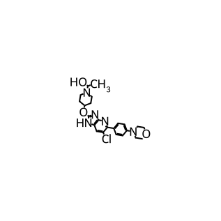 CC(O)N1CCC(Oc2nc3nc(-c4ccc(N5CCOCC5)cc4)c(Cl)cc3[nH]2)CC1